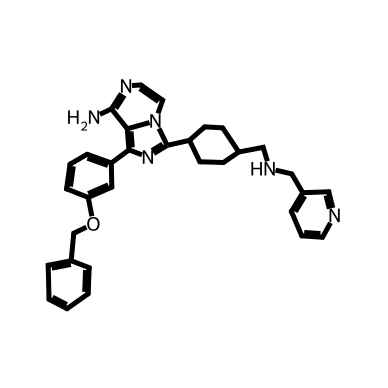 Nc1nccn2c(C3CCC(CNCc4cccnc4)CC3)nc(-c3cccc(OCc4ccccc4)c3)c12